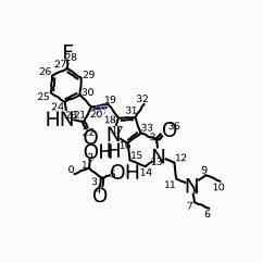 CC(O)C(=O)O.CCN(CC)CCN1CCc2[nH]c(/C=C3\C(=O)Nc4ccc(F)cc43)c(C)c2C1=O